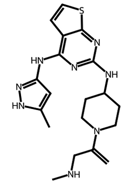 C=C(CNC)N1CCC(Nc2nc(Nc3cc(C)[nH]n3)c3ccsc3n2)CC1